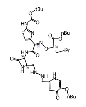 CCCCOC(=O)[C@H](CC(C)C)O/N=C(\C(=O)N[C@@H]1C(=O)N[C@@H]1CNNCc1cc(=O)c(OCCCC)c[nH]1)c1csc(NC(=O)OC(C)(C)C)n1